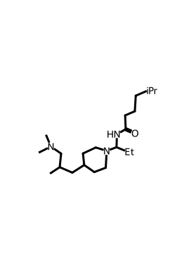 CCC(NC(=O)CCCC(C)C)N1CCC(CC(C)CN(C)C)CC1